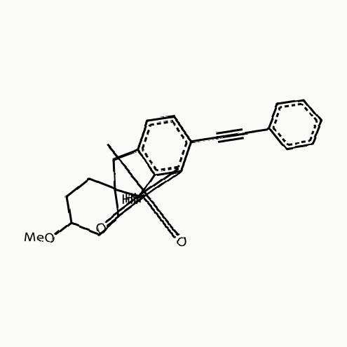 COC1CCC2(CC1)Cc1ccc(C#Cc3ccccc3)cc1C21NC(=O)NC1=O